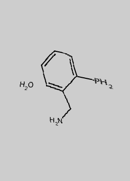 NCc1ccccc1P.O